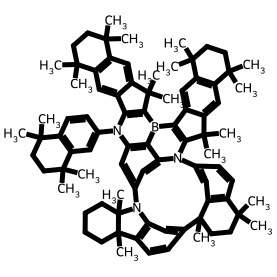 CC1(C)CCC(C)(C)c2cc(N3C4=C(B5C6=C(N7c8ccc9c(c8)C(C)(CCC9(C)C)c8ccc9c(c8)N(c8cc3c5c7c8)C3(C)CCCCC93C)C(C)(C)c3cc5c(cc36)C(C)(C)CCC5(C)C)C(C)(C)c3cc5c(cc34)C(C)(C)CCC5(C)C)ccc21